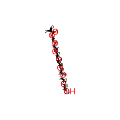 C=C(C)C(=O)OCCOCCOCCOCCOCCOCCOCCO